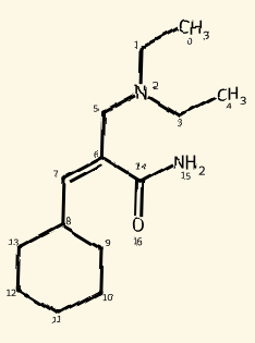 CCN(CC)CC(=CC1CCCCC1)C(N)=O